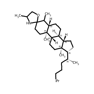 CC(C)CCC[C@@H](C)[C@H]1CC[C@H]2[C@@H]3CC[C@H]4C(C)C5(CC[C@]4(C)[C@H]3CC[C@]12C)NC(C)CO5